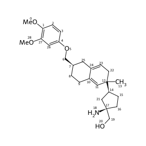 COc1ccc(OC[C@@H]2CCC3=CC(C)([C@H]4CC[C@](N)(CO)C4)CC=C3C2)cc1OC